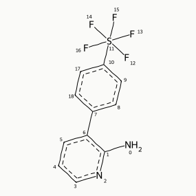 Nc1ncccc1-c1ccc(S(F)(F)(F)(F)F)cc1